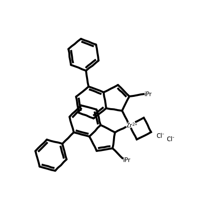 CC(C)C1=Cc2c(-c3ccccc3)cccc2[CH]1[Zr+2]1([CH]2C(C(C)C)=Cc3c(-c4ccccc4)cccc32)[CH2]C[CH2]1.[Cl-].[Cl-]